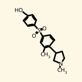 Cc1cc(S(=O)(=O)c2ccc(O)cc2)ccc1C1CCN(C)C1